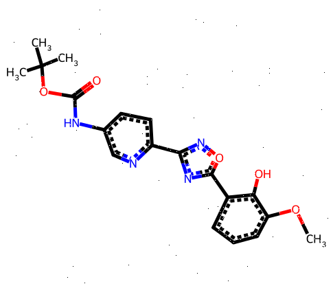 COc1cccc(-c2nc(-c3ccc(NC(=O)OC(C)(C)C)cn3)no2)c1O